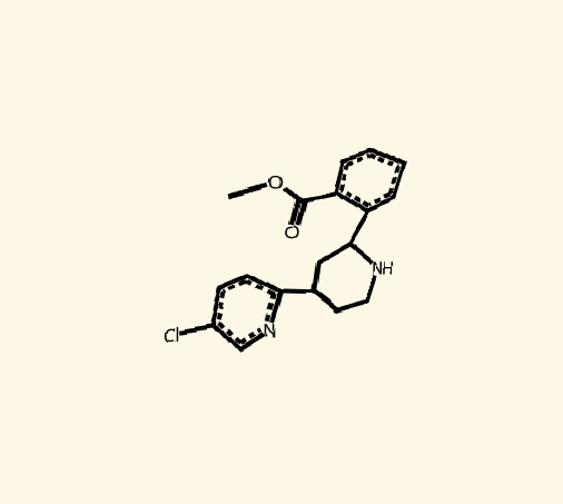 COC(=O)c1ccccc1C1CC(c2ccc(Cl)cn2)CCN1